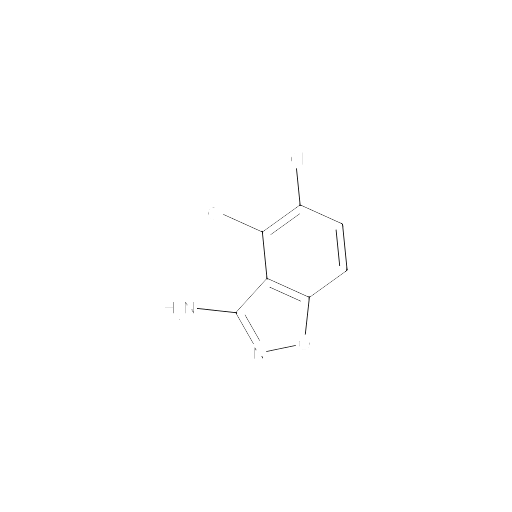 Nc1noc2ccc(Cl)c(Cl)c12